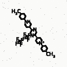 Cc1ccc(-[n+]2ccc(-c3cnc(-c4cc[n+](-c5ccc(C)cc5)cc4)cn3)cc2)cc1.F[B-](F)(F)F.F[B-](F)(F)F